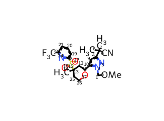 COCn1nc(C(C)(C)C#N)cc1C1CC(C)(S(=O)(=O)c2cccc(C(F)(F)F)n2)CCO1